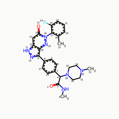 CNC(=O)C(c1ccc(-c2n[nH]c3cc(=O)n(-c4c(C)cccc4F)nc23)cc1)N1CCN(C)CC1